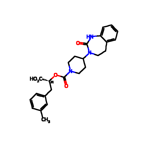 Cc1cccc(C[C@@H](OC(=O)N2CCC(N3CCc4ccccc4NC3=O)CC2)C(=O)O)c1